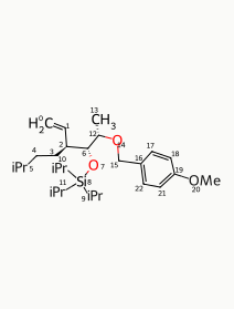 C=C[C@H](CCC(C)C)[C@@H](O[Si](C(C)C)(C(C)C)C(C)C)[C@H](C)OCc1ccc(OC)cc1